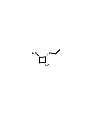 CCO[C@@H]1CC[C@H]1N.Cl